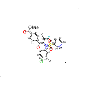 COC(=O)c1ccc(COc2cc(Cl)c(C)cc2N(C[C@@H](C)F)S(=O)(=O)c2cccnc2)cc1